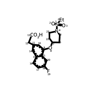 CCS(=O)(=O)N1CCC(Oc2cc(CC(=O)O)cc3ccc(F)cc23)CC1